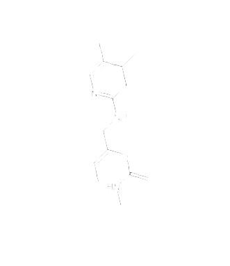 C=C(NC)S/C(=C\C)CNC1=NC=C(C)C(C)C1